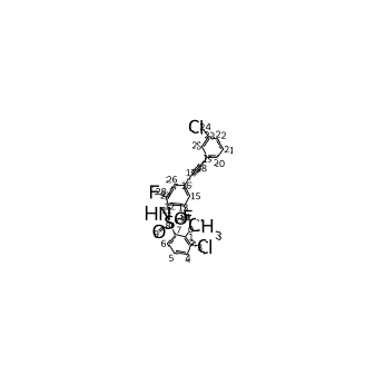 Cc1c(Cl)cccc1S(=O)(=O)Nc1c(F)cc(C#Cc2cccc(Cl)c2)cc1F